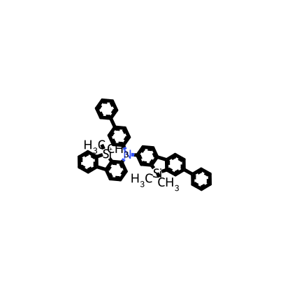 C[Si]1(C)c2cc(-c3ccccc3)ccc2-c2ccc(N(c3ccc(-c4ccccc4)cc3)c3cccc4c3[Si](C)(C)c3ccccc3-4)cc21